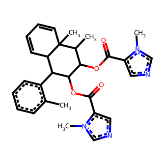 Cc1ccccc1C1C(OC(=O)c2cncn2C)C(OC(=O)c2cncn2C)C(C)C2(C)C=CC=CC12